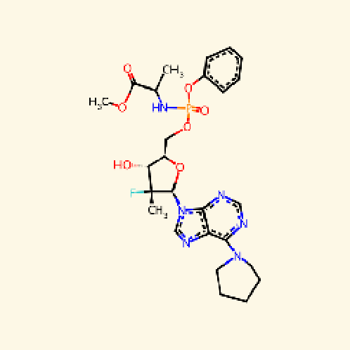 COC(=O)C(C)NP(=O)(OC[C@H]1O[C@@H](n2cnc3c(N4CCCCC4)ncnc32)[C@](C)(F)[C@@H]1O)Oc1ccccc1